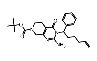 C=CCCCC(c1ccccc1)n1c(N)nc2c(c1=O)CCN(C(=O)OC(C)(C)C)C2